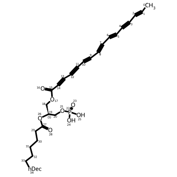 CC#CC#CC#CC#CC#CC#CC#CC(=O)OC[C@@H](COP(=O)(O)O)OC(=O)CCCCCCCCCCCCCCC